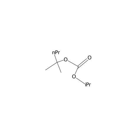 CCCC(C)(C)OC(=O)OC(C)C